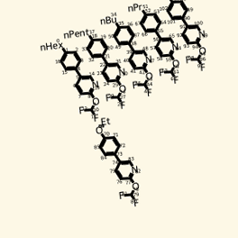 CCCCCCc1ccc(-c2ccc(OC(F)F)nc2)cc1.CCCCCc1ccc(-c2ccc(OC(F)F)nc2)cc1.CCCCc1ccc(-c2ccc(OC(F)F)nc2)cc1.CCCc1ccc(-c2ccc(OC(F)F)nc2)cc1.CCOc1ccc(-c2ccc(OC(F)F)nc2)cc1.CCc1ccc(-c2ccc(OC(F)F)nc2)cc1